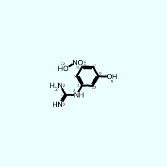 N=C(N)Nc1cccc(O)c1.O=[N+]([O-])O